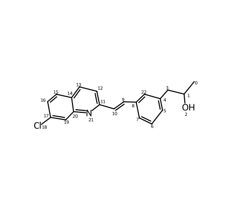 CC(O)Cc1cccc(/C=C/c2ccc3ccc(Cl)cc3n2)c1